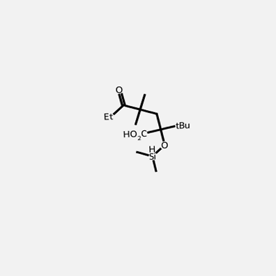 CCC(=O)C(C)(C)CC(O[SiH](C)C)(C(=O)O)C(C)(C)C